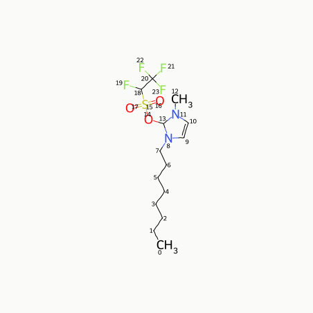 CCCCCCCCN1C=CN(C)C1OS(=O)(=O)C(F)C(F)(F)F